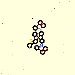 c1ccc(-c2ccccc2N(c2ccccc2)c2ccc3c(c2)C2(c4cc(N(c5ccccc5)c5ccccc5-c5ccccc5)ccc4-3)c3ccccc3-c3c2ccc2c3sc3ccccc32)cc1